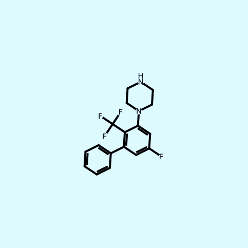 Fc1cc(-c2ccccc2)c(C(F)(F)F)c(N2CCNCC2)c1